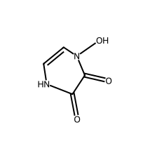 O=c1[nH]ccn(O)c1=O